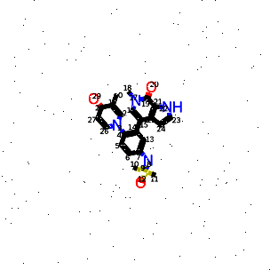 Cc1cn(-c2ccc(N=S(C)(C)=O)cc2-c2cn(C)c(=O)c3[nH]ccc23)ccc1=O